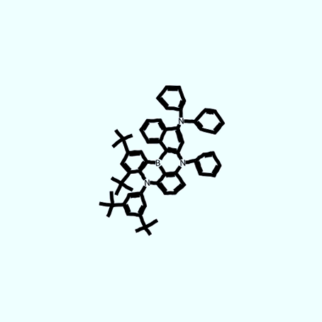 CC(C)(C)c1cc(N2c3cccc4c3B(c3cc(C(C)(C)C)cc(C(C)(C)C)c32)c2c(cc(N(c3ccccc3)c3ccccc3)c3ccccc23)N4c2ccccc2)cc(C(C)(C)C)c1